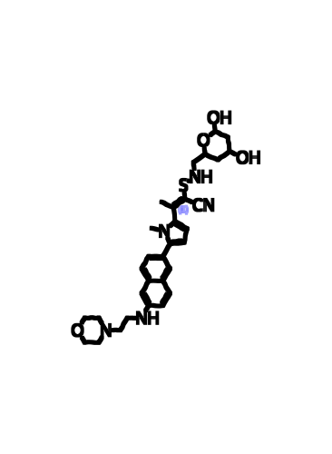 C/C(=C(/C#N)SNCC1CC(O)CC(O)O1)c1ccc(-c2ccc3cc(NCCN4CCOCC4)ccc3c2)n1C